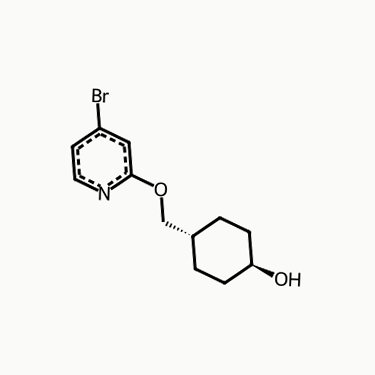 O[C@H]1CC[C@H](COc2cc(Br)ccn2)CC1